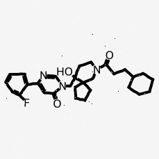 O=C(CCC1CCCCC1)N1CCC(O)(Cn2cnc(-c3ccccc3F)cc2=O)C2(CCCC2)C1